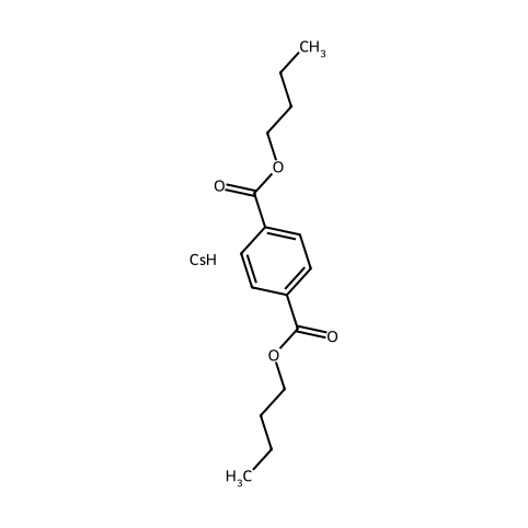 CCCCOC(=O)c1ccc(C(=O)OCCCC)cc1.[CsH]